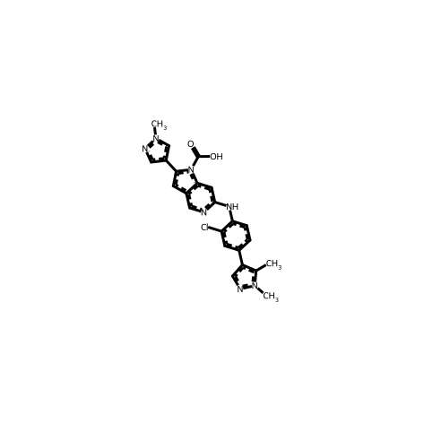 Cc1c(-c2ccc(Nc3cc4c(cn3)cc(-c3cnn(C)c3)n4C(=O)O)c(Cl)c2)cnn1C